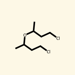 CC(CCCl)OC(C)CCCl